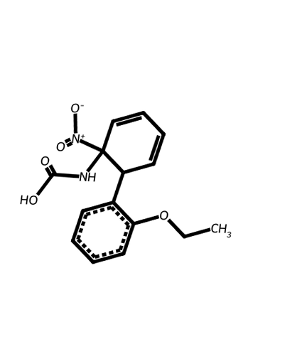 CCOc1ccccc1C1C=CC=CC1(NC(=O)O)[N+](=O)[O-]